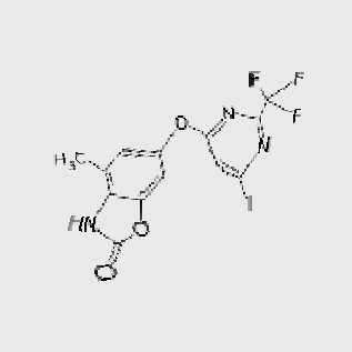 Cc1cc(Oc2cc(I)nc(C(F)(F)F)n2)cc2oc(=O)[nH]c12